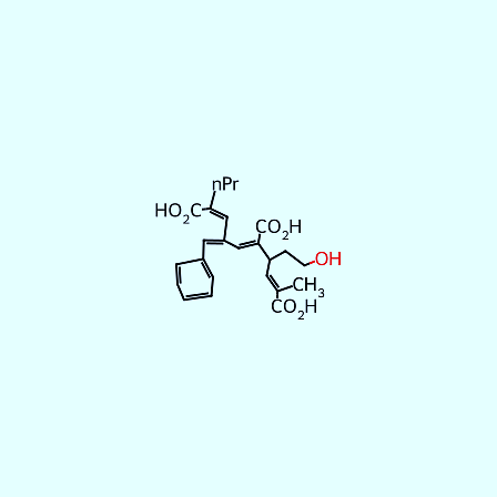 CCCC(=CC(=Cc1ccccc1)C=C(C(=O)O)C(C=C(C)C(=O)O)CCO)C(=O)O